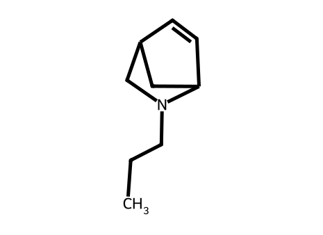 CCCN1CC2C=CC1C2